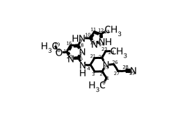 CCC1CC(Nc2nc(Nc3cc(C)[nH]n3)cc(OC)n2)CC(CC)N1CCC#N